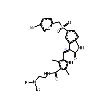 CCN(CC)CCNC(=O)c1c(C)[nH]c(/C=C2\C(=O)Nc3ccc(S(=O)(=O)Cc4ccc(Br)cc4)cc32)c1C